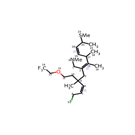 CNC/C(CC(C)(/C=C\CF)CCOCC(F)(F)F)=C(/C)C(C)/C=C\C(C)SC